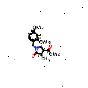 COC(=O)C1CN(Cc2ccc(OC)cc2OC)C(=O)C1C